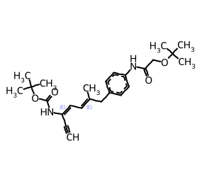 C#C/C(=C\C=C(/C)Cc1ccc(NC(=O)COC(C)(C)C)cc1)NC(=O)OC(C)(C)C